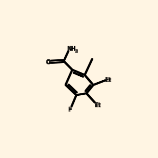 CCc1c(F)cc(C(N)=O)c(C)c1CC